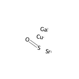 O=S.[Cu].[Ga].[Sr]